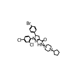 O=C(NN1CCN(C2CCCC2)CC1)C1=NN(c2ccc(Cl)cc2Cl)C(c2ccc(Br)cc2)C1